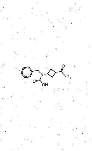 NC(=O)[C@H]1C[C@H](N(Cc2ccccc2)C(=O)O)C1